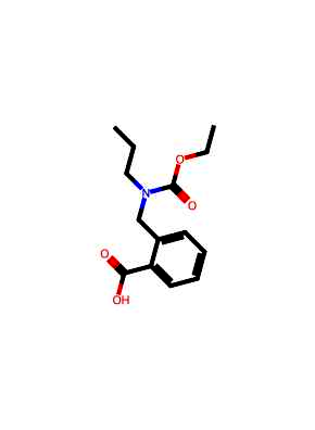 CCCN(Cc1ccccc1C(=O)O)C(=O)OCC